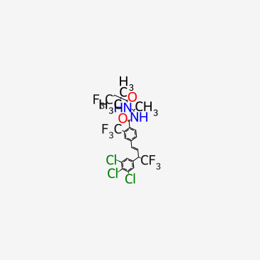 C[C@@H](NC(=O)c1ccc(/C=C/C(c2cc(Cl)c(Cl)c(Cl)c2)C(F)(F)F)cc1C(F)(F)F)NC(=O)C(C)(C)CC(F)(F)F